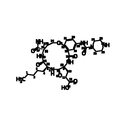 CCCCC[C@@H]1NC(=O)[C@H](CCC(=O)O)NC(=O)c2cc(NC(=O)N3CCNCC3)ccc2OCC[C@@H](C(N)=O)NC1=O